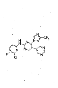 Fc1ccc(Nc2ncc(-c3cncnc3)c(-n3cnc(C(F)(F)F)c3)n2)cc1Cl